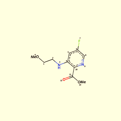 COCCNc1cc(F)cnc1C(=O)OC